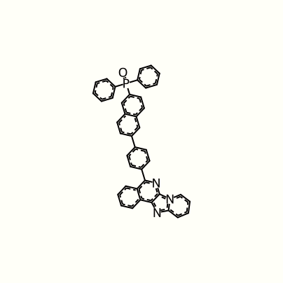 O=P(c1ccccc1)(c1ccccc1)c1ccc2cc(-c3ccc(-c4nc5c(nc6ccccn65)c5ccccc45)cc3)ccc2c1